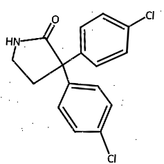 O=C1NCCC1(c1ccc(Cl)cc1)c1ccc(Cl)cc1